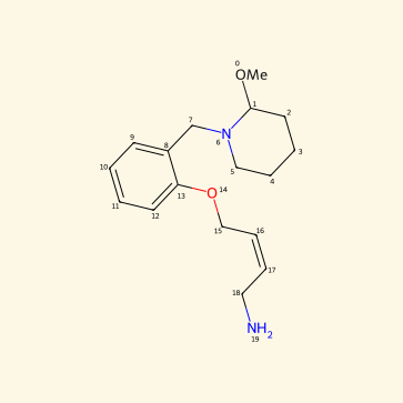 COC1CCCCN1Cc1ccccc1OC/C=C\CN